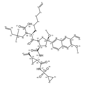 C=CCCCCC[C@@H](C(=O)N1C[C@](OC)(c2ccc3cc(OC)c(C=C)cc3c2)C[C@H]1C(=O)N[C@]1(C(=O)NS(=O)(=O)C2CC2)C[C@H]1C=C)N(CC(C)(C)CC=C)C(=O)O